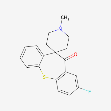 CN1CCC2(CC1)C(=O)c1cc(F)ccc1Sc1ccccc12